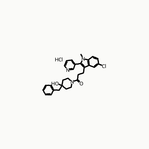 Cl.Cn1c(-c2cccnc2)c(CCC(=O)N2CCC(O)(Cc3ccccc3)CC2)c2cc(Cl)ccc21